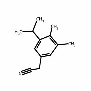 Cc1cc(CC#N)cc(C(C)C)c1C